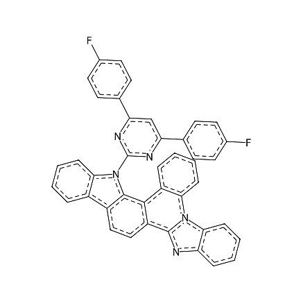 Fc1ccc(-c2cc(-c3ccc(F)cc3)nc(-n3c4ccccc4c4ccc5c(c6ccccc6n6c7ccccc7nc56)c43)n2)cc1